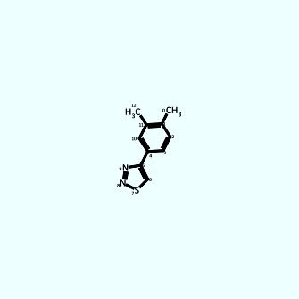 Cc1ccc(-c2csnn2)cc1C